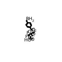 BCc1ccc(C(=O)OC(CS(=O)(=O)O)(C(F)(F)F)C(F)(F)F)cc1